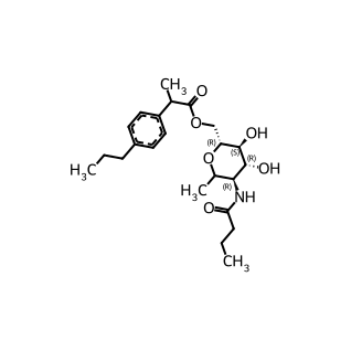 CCCC(=O)N[C@H]1C(C)O[C@H](COC(=O)C(C)c2ccc(CCC)cc2)[C@@H](O)[C@@H]1O